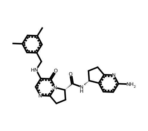 Cc1cc(C)cc(CNc2cnc3n(c2=O)[C@H](C(=O)N[C@@H]2CCc4nc(N)ccc42)CC3)c1